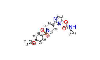 O=C(NC1CC1)Oc1ccnc(C2=CCN(S(=O)(=O)c3ccc(OC(F)(F)F)cc3)CC2)n1